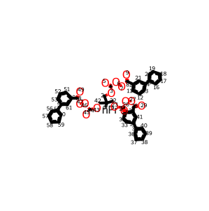 CCCC(COC(=O)OOC(=O)c1cccc(-c2ccccc2)c1)(COC(=O)OOC(=O)c1cccc(-c2ccccc2)c1)COC(=O)OOC(=O)c1cccc(-c2ccccc2)c1